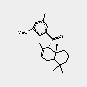 COc1cc(C)cc(C(=O)[C@H]2C(C)=CCC3C(C)(C)CCC[C@]32C)c1